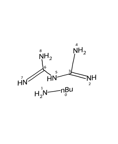 CCCCN.N=C(N)NC(=N)N